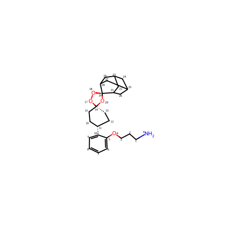 NCCCOc1ccccc1[C@H]1CC[C@]2(CC1)OO[C@]1(O2)C2CC3CC(C2)CC1C3